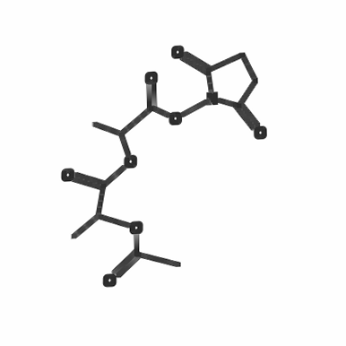 CC(=O)OC(C)C(=O)OC(C)C(=O)ON1C(=O)CCC1=O